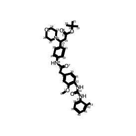 COc1cc(CC(=O)Nc2ccc(C(CC(=O)OC(C)(C)C)N3CCOCC3)cc2)ccc1NC(=O)Nc1ccccc1C